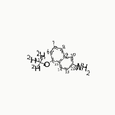 [2H]C([2H])([2H])Oc1cccc2cc(N)ccc12